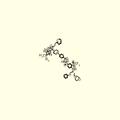 C[C@H]1[C@@H](N(C(=O)CCc2ccccc2)C2CCN(c3ccc(C(=O)NS(=O)(=O)c4ccc(N[C@H](CCN5CCOCC5)CSc5ccccc5)c(S(=O)(=O)C(F)(F)F)c4)cc3)CC2)C[C@@H]2C[C@@H]1C2(C)C